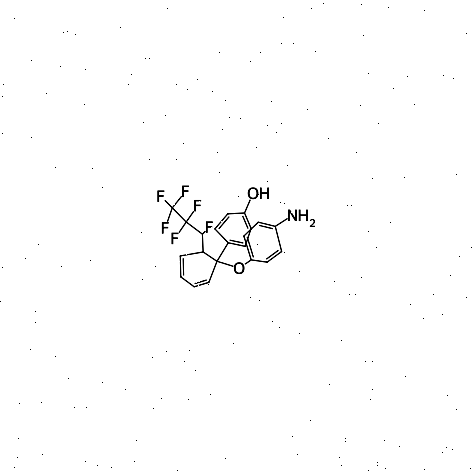 Nc1ccc(OC2(c3ccc(O)cc3)C=CC=CC2C(F)C(F)(F)C(F)(F)F)cc1